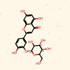 O=c1cc(-c2ccc(O)c(O[C@@H]3OC(CO)[C@H](O)[C@H](O)C3O)c2)oc2cc(O)cc(O)c12